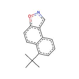 CC(C)(C)c1cccc2c1ccc1oncc12